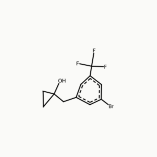 OC1(Cc2cc(Br)cc(C(F)(F)F)c2)CC1